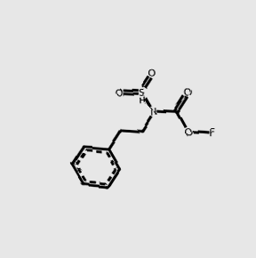 O=C(OF)N(CCc1ccccc1)[SH](=O)=O